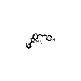 N[N+]12C=C(CCCN3CCNCC3)N=CC1=NC(c1ccco1)=N2